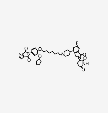 O=C1CCC(N2Cc3c(cc(F)cc3C3CCN(CCCCCCCOc4ccc(N5C(=O)c6ccsc6C5=O)cc4OC4CCCC4)CC3)C2=O)C(=O)N1